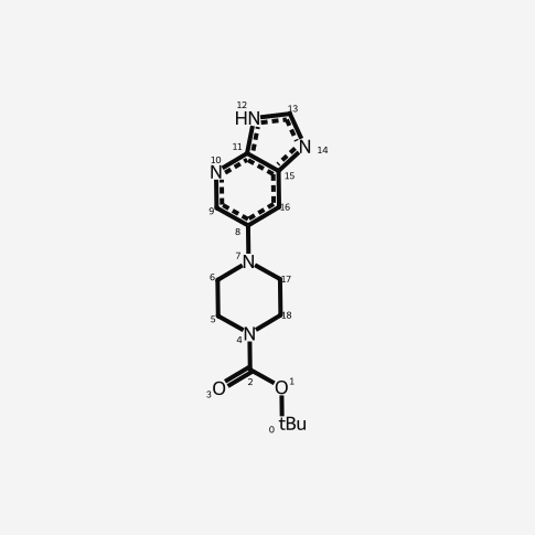 CC(C)(C)OC(=O)N1CCN(c2cnc3[nH]cnc3c2)CC1